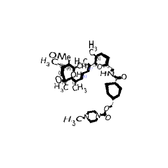 CO[C@H]([C@@H](C)[C@H]1O[C@]1(C)C[C@H](C)/C=C/C=C(\C)[C@H]1O[C@@H](CNC(=O)[C@H]2CC[C@@H](COC(=O)N3CCN(C)CC3)CC2)CC[C@@H]1C)[C@@H](C)O